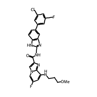 COCCCNc1cc(F)cn2cc(C(=O)Nc3nc4cc(-c5cc(F)cc(Cl)c5)ccc4[nH]3)nc12